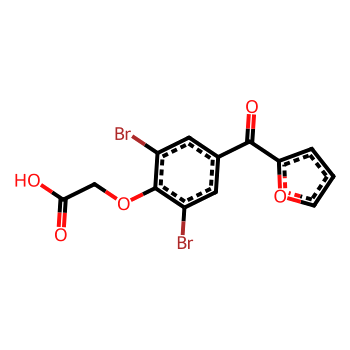 O=C(O)COc1c(Br)cc(C(=O)c2ccco2)cc1Br